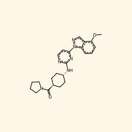 COc1cccc2c1cnn2-c1ccnc(N[C@H]2CC[C@H](C(=O)N3CCCC3)CC2)n1